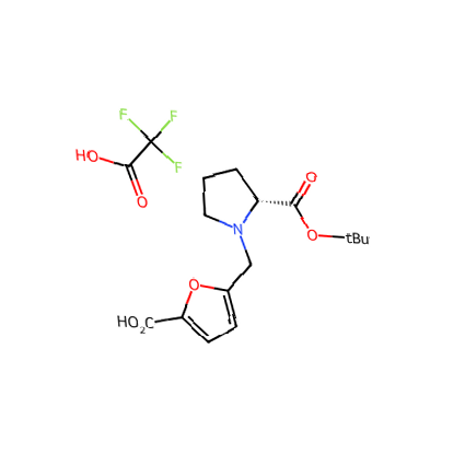 CC(C)(C)OC(=O)[C@H]1CCCN1Cc1ccc(C(=O)O)o1.O=C(O)C(F)(F)F